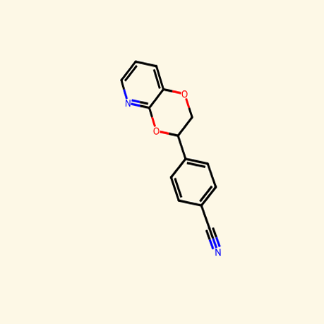 N#Cc1ccc(C2COc3cccnc3O2)cc1